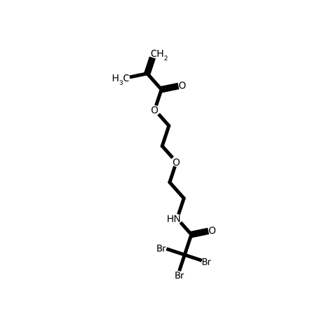 C=C(C)C(=O)OCCOCCNC(=O)C(Br)(Br)Br